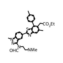 CCOC(=O)Cc1c(C)cc2nc(-c3ccc4c(c3)c(N(C=O)CCNC)nn4C)sc2c1-c1ccc(C)cc1